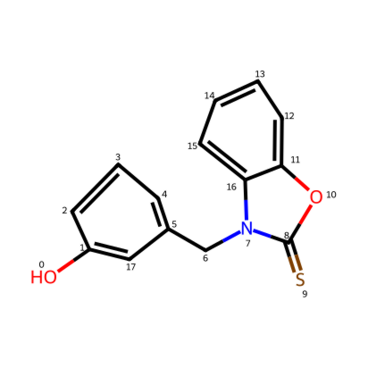 Oc1cccc(Cn2c(=S)oc3ccccc32)c1